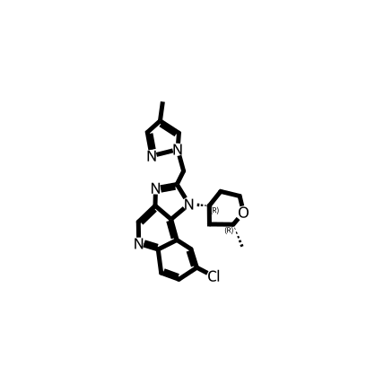 Cc1cnn(Cc2nc3cnc4ccc(Cl)cc4c3n2[C@@H]2CCO[C@H](C)C2)c1